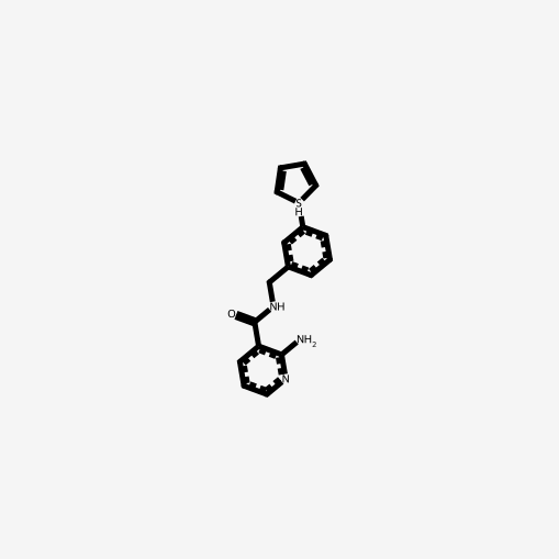 Nc1ncccc1C(=O)NCc1cccc([SH]2C=CC=C2)c1